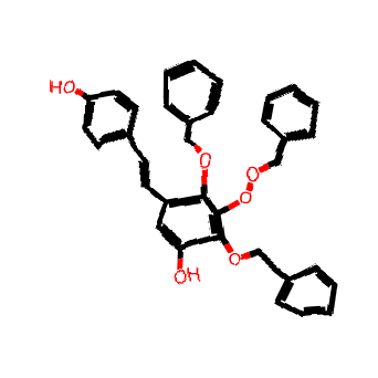 Oc1ccc(C=Cc2cc(O)c(OCc3ccccc3)c(OOCc3ccccc3)c2OCc2ccccc2)cc1